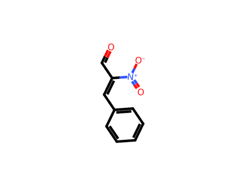 O=CC(=Cc1ccccc1)[N+](=O)[O-]